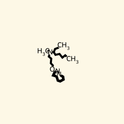 CCCCCC(CCC)N(C)CCCCOc1cc2ccccn2n1